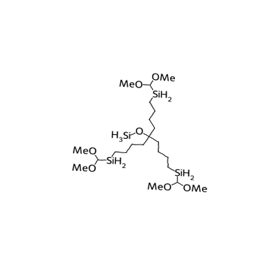 COC(OC)[SiH2]CCCCC(CCCC[SiH2]C(OC)OC)(CCCC[SiH2]C(OC)OC)O[SiH3]